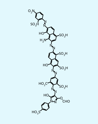 Nc1c(N=Nc2ccc3c(O)c(N=Nc4cc(C(=O)O)c(N=Nc5c(OC=O)nn(-c6ccc(S(=O)(=O)O)cc6)c5O)c(S(=O)(=O)O)c4)c(S(=O)(=O)O)cc3c2S(=O)(=O)O)cc(S(=O)(=O)O)c2ccc(N=Nc3ccc([N+](=O)[O-])cc3S(=O)(=O)O)c(O)c12